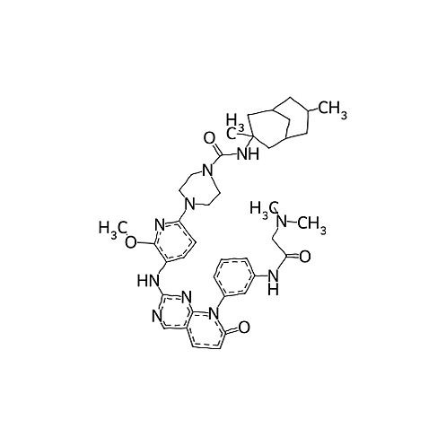 COc1nc(N2CCN(C(=O)NC3(C)CC4CC(C)CC(C4)C3)CC2)ccc1Nc1ncc2ccc(=O)n(-c3cccc(NC(=O)CN(C)C)c3)c2n1